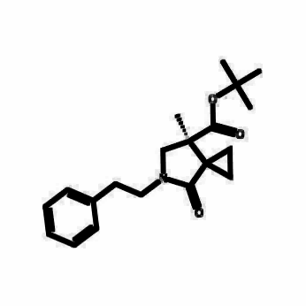 CC(C)(C)OC(=O)[C@]1(C)CN(CCc2ccccc2)C(=O)C12CC2